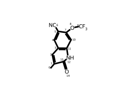 Cc1cc2cc(C#N)c(OC(F)(F)F)cc2[nH]c1=O